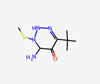 CSN1NN=C(C(C)(C)C)C(=O)C1N